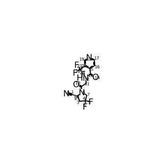 N#C[C@@H]1CC(F)(F)CN1C(=O)CNC(=O)c1ccncc1C(F)(F)F